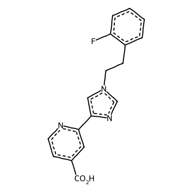 O=C(O)c1ccnc(-c2cn(CCc3ccccc3F)cn2)c1